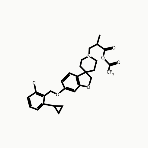 CC(CN1CCC2(CC1)COc1cc(OCc3c(Cl)cccc3C3CC3)ccc12)C(=O)OC(=O)C(F)(F)F